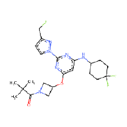 CC(C)(C)C(=O)N1CC(Oc2cc(NC3CCC(F)(F)CC3)nc(-n3ccc(CF)n3)n2)C1